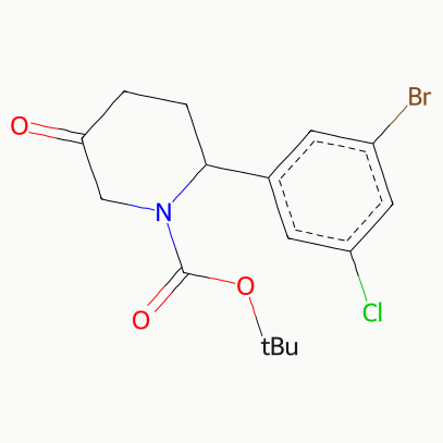 CC(C)(C)OC(=O)N1CC(=O)CCC1c1cc(Cl)cc(Br)c1